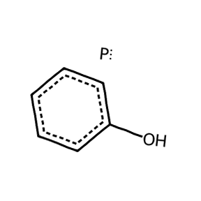 Oc1ccccc1.[P]